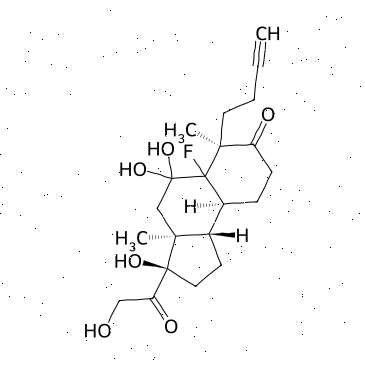 C#CCC[C@@]1(C)C(=O)CC[C@H]2[C@@H]3CC[C@](O)(C(=O)CO)[C@@]3(C)CC(O)(O)C21F